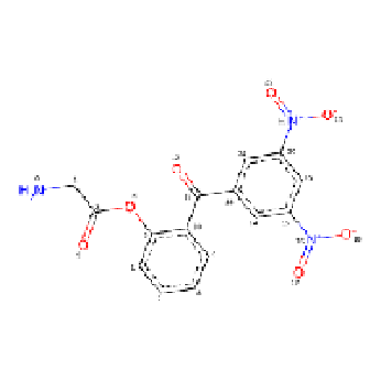 NCC(=O)Oc1ccccc1C(=O)c1cc([N+](=O)[O-])cc([N+](=O)[O-])c1